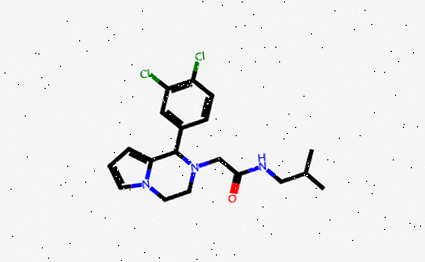 CC(C)CNC(=O)CN1CCn2cccc2C1c1ccc(Cl)c(Cl)c1